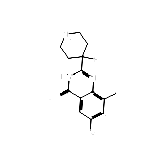 Cc1cc(Br)cc2c(=O)[nH]c(C3(F)CCNCC3)nc12